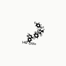 COc1cc2c(Oc3ccc(NC(=O)C4(C(=O)Nc5ccc(F)cc5)CC4)cc3)ccnc2cc1O